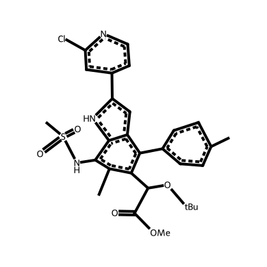 COC(=O)C(OC(C)(C)C)c1c(C)c(NS(C)(=O)=O)c2[nH]c(-c3ccnc(Cl)c3)cc2c1-c1ccc(C)cc1